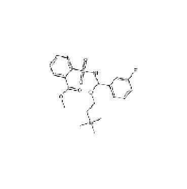 COC(=O)c1cccnc1S(=O)(=O)NC(OCC[Si](C)(C)C)c1cccc(F)c1